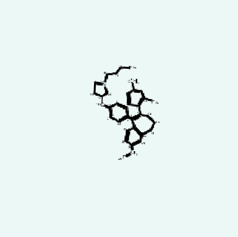 Cc1ccc(C2=C(c3ccc(O[C@H]4CCN(CCCF)C4)cc3)c3ccc(OF)cc3CCC2)c(F)c1